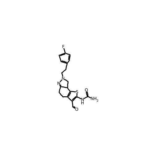 NC(=O)Nc1sc2c(c1C=O)CCC1=NN(CCc3ccc(F)cc3)CC12